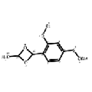 CCOc1cc(SOC)ccc1C1OC(C)O1